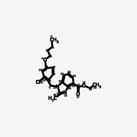 CCCCOc1ccc(Cn2c(C)nc3c(C(=O)OCC)cccc32)c(Cl)c1